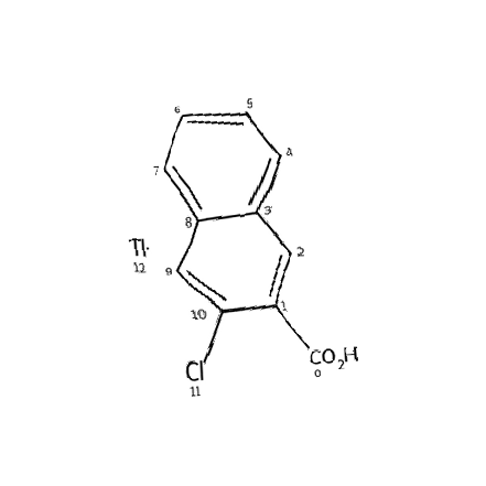 O=C(O)c1cc2ccccc2cc1Cl.[Tl]